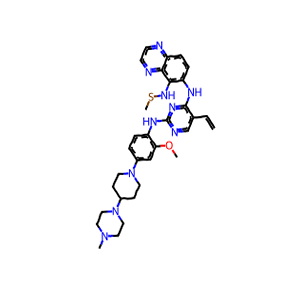 C=Cc1cnc(Nc2ccc(N3CCC(N4CCN(C)CC4)CC3)cc2OC)nc1Nc1ccc2nccnc2c1NSC